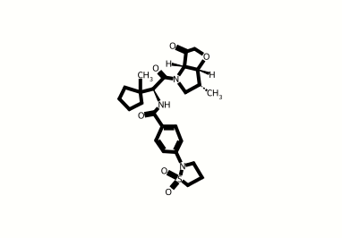 C[C@@H]1CN(C(=O)[C@@H](NC(=O)c2ccc(N3CCCS3(=O)=O)cc2)C2(C)CCCC2)[C@@H]2C(=O)CO[C@H]12